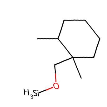 CC1CCCCC1(C)CO[SiH3]